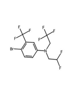 FC(F)CN(CC(F)(F)F)c1ccc(Br)c(C(F)(F)F)c1